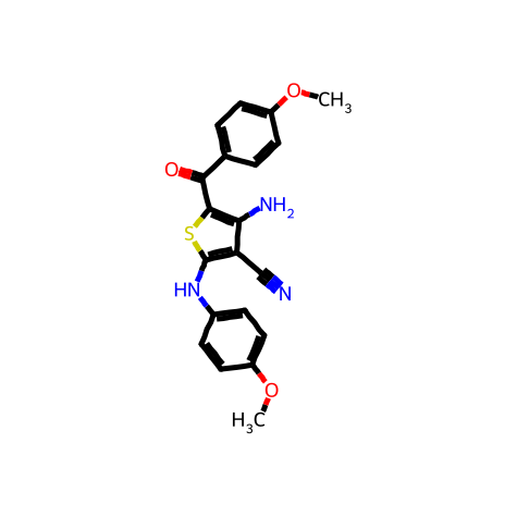 COc1ccc(Nc2sc(C(=O)c3ccc(OC)cc3)c(N)c2C#N)cc1